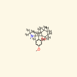 [2H]C([2H])([2H])N(C)C([2H])([2H])[C@]([2H])(c1ccc(OC)cc1)C1(O)C([2H])([2H])C([2H])([2H])C([2H])([2H])C([2H])([2H])C1([2H])[2H]